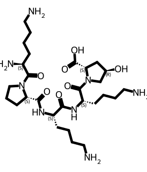 NCCCC[C@H](NC(=O)[C@@H]1CCCN1C(=O)[C@@H](N)CCCCN)C(=O)N[C@@H](CCCCN)C(=O)N1C[C@H](O)C[C@H]1C(=O)O